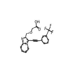 O=C(O)COCc1nc2ccccn2c1C#Cc1cccc(C(F)(F)F)c1